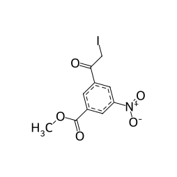 COC(=O)c1cc(C(=O)CI)cc([N+](=O)[O-])c1